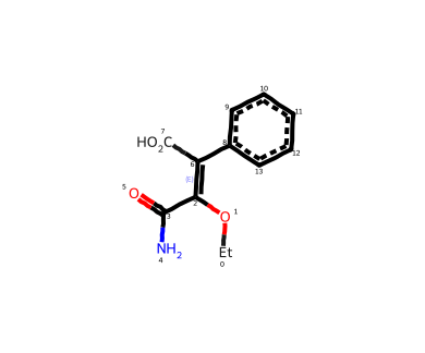 CCO/C(C(N)=O)=C(/C(=O)O)c1ccccc1